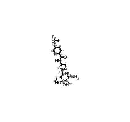 CC[C@@H]1[C@@](C)(c2nc(NC(=O)c3ccc(OC(F)F)cn3)cs2)N=C(N)N(C)S1(O)O